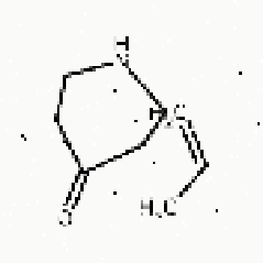 C=CC.O=C1CCNCC1